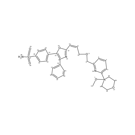 COC1(c2cccc(COC/C=C\c3nc(-c4ccccc4)c(-c4ccc(S(N)(=O)=O)cc4)o3)n2)CCOCC1